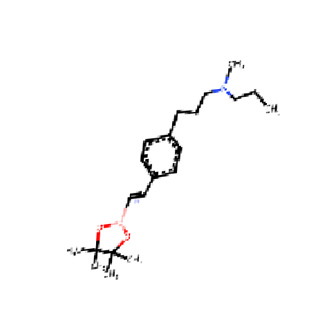 CCCN(C)CCCc1ccc(/C=C/B2OC(C)(C)C(C)(C)O2)cc1